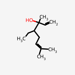 C=CC(C)(O)C(CC)CC=C(C)C